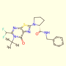 [2H]C([2H])([2H])n1c(C(F)F)nc2sc(N3CCC[C@@H]3C(=O)NCc3ccccc3)nc2c1=O